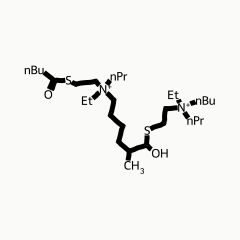 CCCCC(=O)SCC[N+](CC)(CCC)CCCCC(C)C(O)SCC[N+](CC)(CCC)CCCC